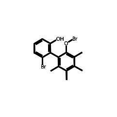 Cc1c(C)c(C)c(-c2c(O)cccc2Br)c(OBr)c1C